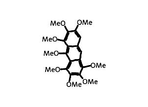 COc1cc2cc3c(OC)c(OC)c(OC)c(OC)c3c(OC)c2c(OC)c1OC